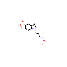 CC(C)(C)OC(=O)NCCCn1cc(Br)c2cc([SH](=O)=O)ccc21